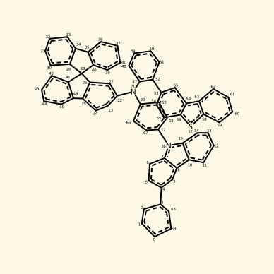 c1ccc(-c2ccc3c(c2)c2ccccc2n3-c2ccc(N(c3ccc4c(c3)C3(c5ccccc5-c5ccccc53)c3ccccc3-4)c3ccccc3-c3ccc4sc5ccccc5c4c3)cc2)cc1